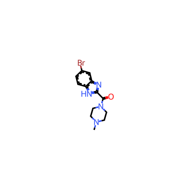 CN1CCN(C(=O)c2nc3cc(Br)ccc3[nH]2)CC1